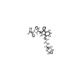 CNC(=O)CCC(C=O)N1Cc2c(SCCCCN3CCOCC3)cccc2C1=O